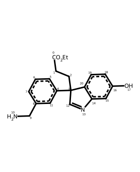 CCOC(=O)CCC1(c2cccc(CN)c2)C=Nc2cc(O)ccc21